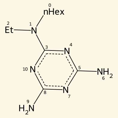 CCCCCCN(CC)c1nc(N)nc(N)n1